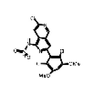 COc1cc(OC)c(Cl)c(-c2cc3cnc(Cl)cc3c(N[SH](=O)=O)n2)c1Cl